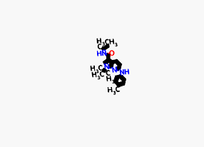 CCC(C)NC(=O)c1cn(C(C)(C)C)c2nc(Nc3ccc(C)cc3)ccc12